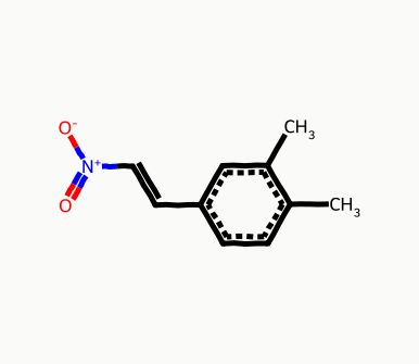 Cc1ccc(C=C[N+](=O)[O-])cc1C